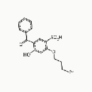 CC(C)CCCOc1cc(O)c(C(=O)c2ccccc2)cc1S(=O)(=O)O